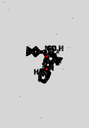 O=C(O)c1cc(F)c2nc(N3C4CC[C@H]3CC(OCc3c(C5CC6(CC6)C5)noc3C3CC3)C4)sc2c1